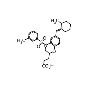 Cc1cccc(S(=O)(=O)N2C[C@H](CCC(=O)O)Oc3ccc(/C=C4\CCCCC4C)cc32)c1